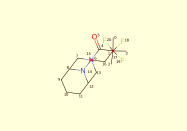 CC(C)(C)C(=O)N1CC2CCCC(C1)N2CCC(F)(F)F